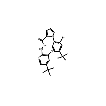 O=C(NNc1ncc(C(F)(F)F)cc1Cl)c1cccn1-c1ccc(C(F)(F)F)cc1Br